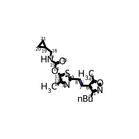 CCCCc1noc(C)c1/C=C/c1nc(C)c(OC(=O)NCC2CC2)s1